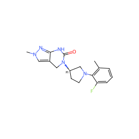 Cc1cccc(F)c1N1CC[C@@H](N2Cc3cn(C)nc3NC2=O)C1